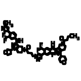 CCCC(=O)N1CCc2c(c(Nc3cc(C(F)F)c(-c4cnn(CCCC(=O)N5CCc6c(c(Nc7ccc(-c8cnn(C)c8)c(C(F)F)c7)nn6C6CCOC6)C5)c4)cc3F)nn2C2CCOCC2)C1